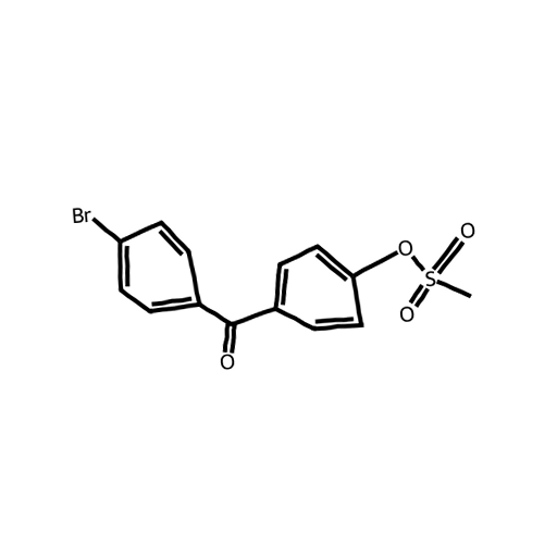 CS(=O)(=O)Oc1ccc(C(=O)c2ccc(Br)cc2)cc1